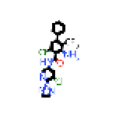 Nc1c(C(=O)Nc2cnc(-n3nccn3)c(Cl)c2)c(Cl)cc(-c2ccccc2)c1C(F)(F)F